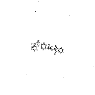 O=C1c2ccccc2C(=O)N1CCc1nc2cc3c(cc2[nH]1)CC1(C3)C(=O)Nc2ncccc21